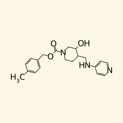 Cc1ccc(COC(=O)N2CCC(CNc3ccncc3)C(O)C2)cc1